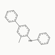 Cc1cc(-c2ccccc2)ccc1Nc1ccccc1